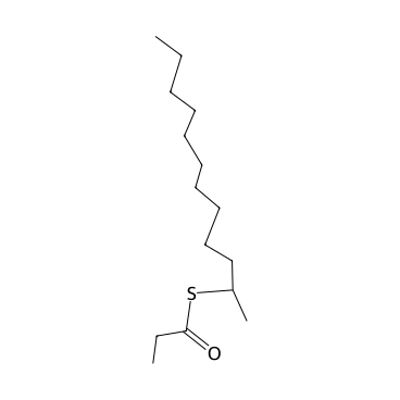 CCCCCCCCCCC(C)SC(=O)CC